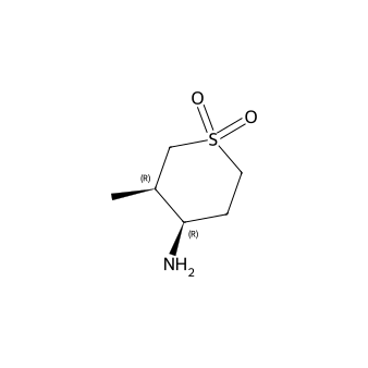 C[C@H]1CS(=O)(=O)CC[C@H]1N